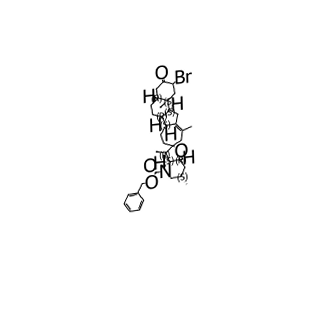 CC1=C2C[C@H]3[C@@H](CC[C@@H]4CC(=O)C(Br)C[C@@]43C)[C@@H]2CCC2(C1)O[C@@H]1C[C@H](C)CN(C(=O)OCc3ccccc3)[C@H]1[C@H]2C